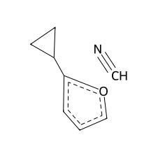 C#N.c1coc(C2CC2)c1